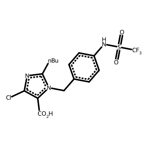 CCCCc1nc(Cl)c(C(=O)O)n1Cc1ccc(NS(=O)(=O)C(F)(F)F)cc1